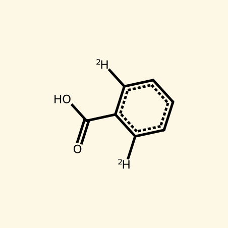 [2H]c1cccc([2H])c1C(=O)O